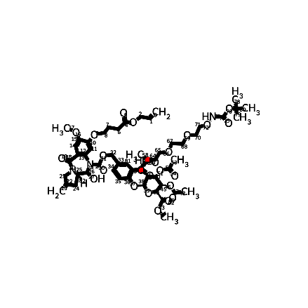 C=CCOC(=O)CCCOc1cc2c(cc1OC)C(=O)N1CC(=C)C[C@H]1C(O)N2C(=O)OCc1ccc(O[C@@H]2O[C@H](C(=O)OC)[C@@H](OC(C)=O)[C@H](OC(C)=O)[C@H]2OC(C)=O)c(C(=O)NCCOCCOCCONC(=O)OC(C)(C)C)c1